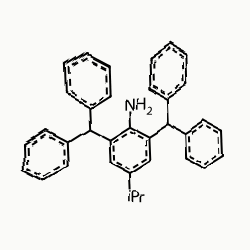 CC(C)c1cc(C(c2ccccc2)c2ccccc2)c(N)c(C(c2ccccc2)c2ccccc2)c1